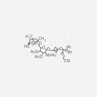 C#CCC(C)(C)CC(C)(C)OCC1OC(OCC23CC(OP(OCCC#N)N(C(C)C)C(C)C)(C2)C3)C(NC(C)=O)C(OC(C)=O)C1OC(C)=O